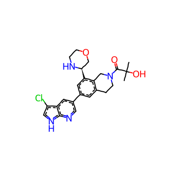 CC(C)(O)C(=O)N1CCc2cc(-c3cnc4[nH]cc(Cl)c4c3)cc([C@@H]3COCCN3)c2C1